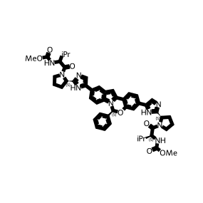 COC(=O)NC(C(=O)N1CCC[C@H]1c1ncc(-c2ccc3c(c2)cc2n3[C@H](c3ccccc3)Oc3cc(-c4cnc([C@@H]5CCCN5C(=O)[C@@H](NC(=O)OC)C(C)C)[nH]4)ccc3-2)[nH]1)C(C)C